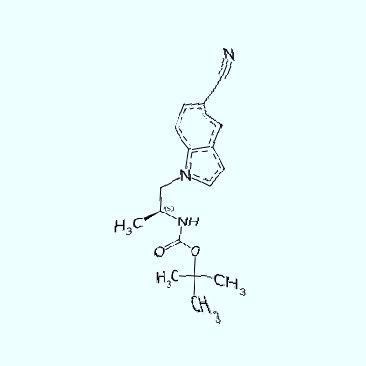 C[C@@H](Cn1ccc2cc(C#N)ccc21)NC(=O)OC(C)(C)C